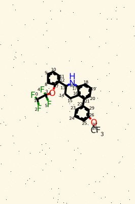 FC(F)C(F)(F)Oc1ccccc1C1CCc2c(cccc2-c2cccc(OC(F)(F)F)c2)N1